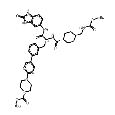 CC(C)(C)OC(=O)NC[C@H]1CC[C@H](C(=O)N[C@@H](Cc2cccc(-c3cnc(N4CCN(C(=O)OC(C)(C)C)CC4)nc3)c2)C(=O)Nc2ccc3[nH]c(=O)[nH]c3c2)CC1